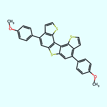 COc1ccc(-c2cc3sc4cc(-c5ccc(OC)cc5)c5ccsc5c4c3c3sccc23)cc1